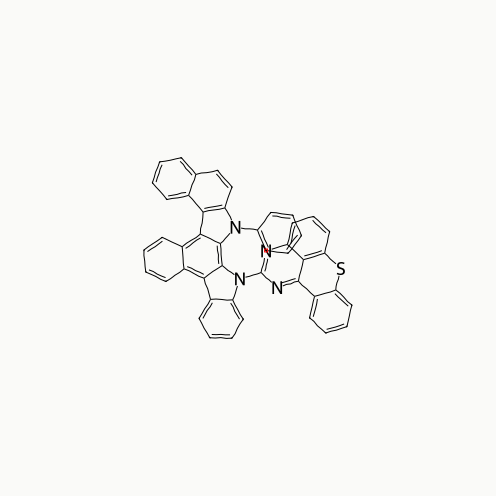 c1ccc(-n2c3ccc4ccccc4c3c3c4ccccc4c4c5ccccc5n(-c5nc6c7c(cccc7n5)Sc5ccccc5-6)c4c32)cc1